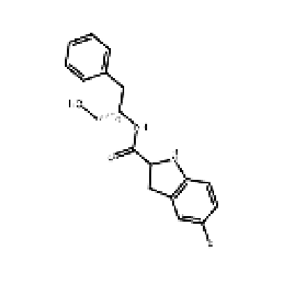 O=C(N[C@H](CO)Cc1ccccc1)C1Cc2cc(F)ccc2N1